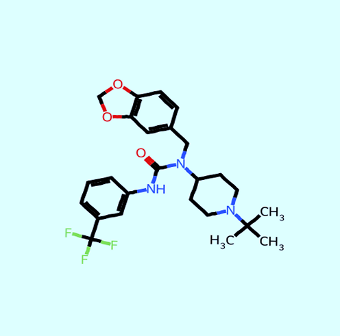 CC(C)(C)N1CCC(N(Cc2ccc3c(c2)OCO3)C(=O)Nc2cccc(C(F)(F)F)c2)CC1